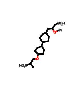 CC(C)OC(CC1CCC(C2CCC(OCC(C)S(=O)(=O)O)CC2)CC1)CS(=O)(=O)O